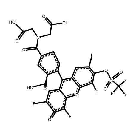 O=C(O)CN(CC(=O)O)C(=O)c1ccc(-c2c3cc(F)c(=O)c(F)c-3oc3c(F)c(OS(=O)(=O)C(F)(F)F)c(F)cc23)c(C(=O)O)c1